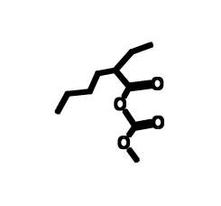 CCCCC(CC)C(=O)OC(=O)OC